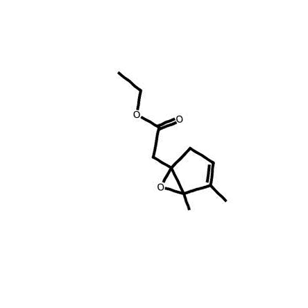 CCOC(=O)CC12CC=C(C)C1(C)O2